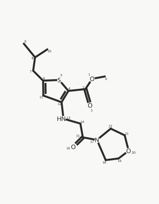 COC(=O)c1sc(CC(C)C)cc1NCC(=O)N1CCOCC1